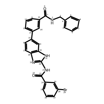 O=C(NCc1ccccc1)c1cccc(-c2ccc3nc(NC(=O)c4cccc(Br)c4)[nH]c3c2)c1